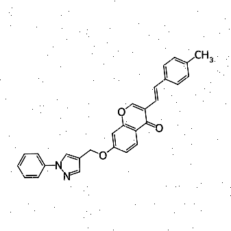 Cc1ccc(/C=C/c2coc3cc(OCc4cnn(-c5ccccc5)c4)ccc3c2=O)cc1